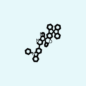 c1ccc(-n2c3ccccc3c3ccc(-c4cnc5c(c4)C4(c6ccccc6Oc6cc7c(cc64)-c4ccccc4C74c6ccccc6-c6ccccc64)c4cccnc4-5)cc32)cc1